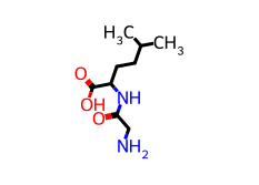 CC(C)CCC(NC(=O)CN)C(=O)O